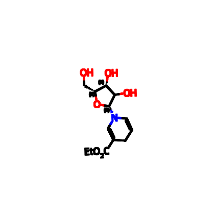 CCOC(=O)C1=CN([C@@H]2O[C@H](CO)[C@H](O)C2O)C=CC1